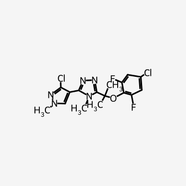 Cn1cc(-c2nnc(C(C)(C)Oc3c(F)cc(Cl)cc3F)n2C)c(Cl)n1